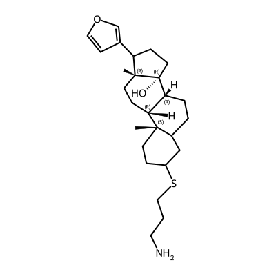 C[C@]12CCC(SCCCN)CC1CC[C@@H]1[C@H]2CC[C@]2(C)C(c3ccoc3)CC[C@@]12O